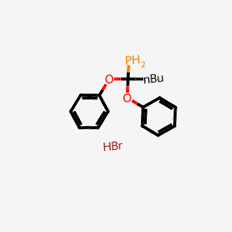 Br.CCCCC(P)(Oc1ccccc1)Oc1ccccc1